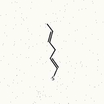 [CH2]C=CCC=C[S]